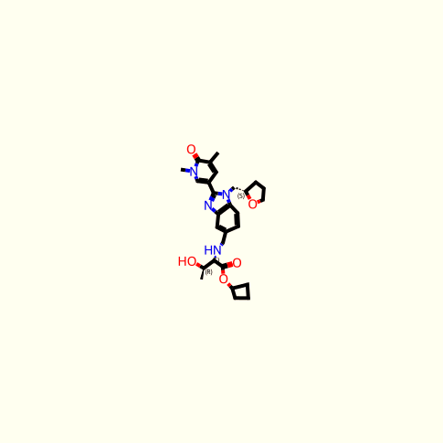 Cc1cc(-c2nc3cc(CN[C@H](C(=O)OC4CCC4)[C@@H](C)O)ccc3n2C[C@@H]2CCCO2)cn(C)c1=O